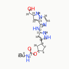 CC[C@H](C)NC(=O)O[C@@H]1CC[C@H](c2cc(Nc3nccn4nc(CO)cc34)n[nH]2)C1